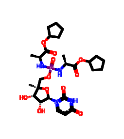 C[C@H](NP(=O)(N[C@@H](C)C(=O)OC1CCCC1)OC[C@@]1(C)O[C@@H](n2ccc(=O)[nH]c2=O)[C@H](O)[C@@H]1O)C(=O)OC1CCCC1